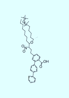 CCCCCCCCC(O[C@@H](C)CCCC[Si](C)(C)O[Si](C)(C)C)C(CCc1ccc(C(=O)O)c(-c2ccc(-c3ccccc3)cc2)c1)[N+](=O)[O-]